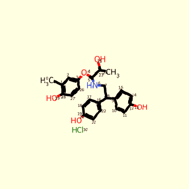 Cc1cc(OC(NCC(c2ccc(O)cc2)c2ccc(O)cc2)C(C)O)ccc1O.Cl